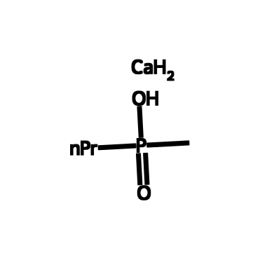 CCCP(C)(=O)O.[CaH2]